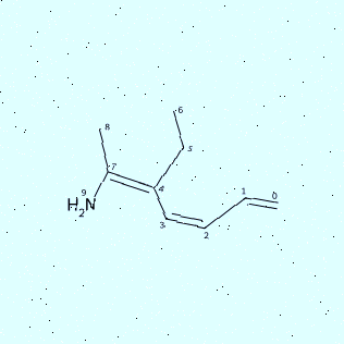 C=C/C=C\C(CC)=C(\C)N